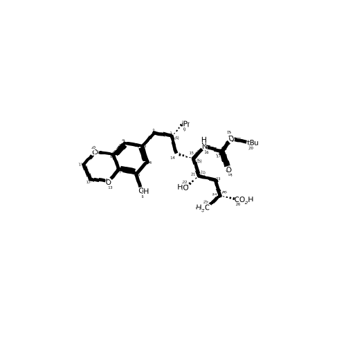 CC(C)[C@@H](Cc1cc(O)c2c(c1)OCCO2)C[C@H](NC(=O)OC(C)(C)C)[C@@H](O)C[C@@H](C)C(=O)O